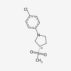 CS(=O)(=O)[C@H]1CCN(c2ccc(Cl)cc2)C1